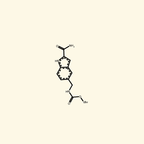 CC(C)(C)OC(=O)NCc1ccc2[nH]c(C(N)=O)cc2c1